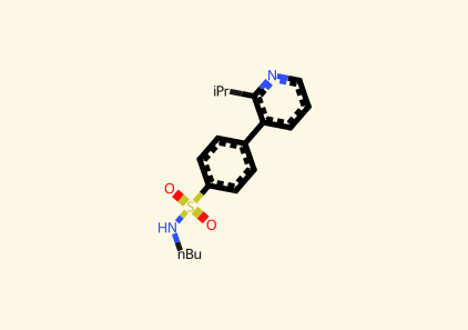 CCCCNS(=O)(=O)c1ccc(-c2cccnc2C(C)C)cc1